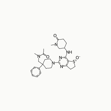 CC(=O)N(C)CC1(c2ccccc2)CCN(c2nc3c(c(NC4CCC(=O)N(C)C4)n2)[S+]([O-])CC3)CC1